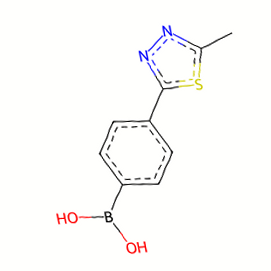 Cc1nnc(-c2ccc(B(O)O)cc2)s1